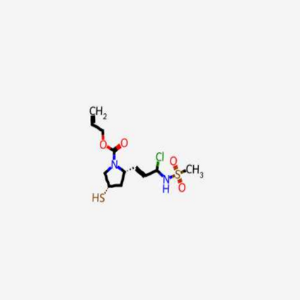 C=CCOC(=O)N1C[C@@H](S)C[C@H]1C=CC(Cl)NS(C)(=O)=O